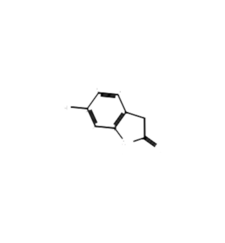 O=[C]1Cc2ccc(Br)c[c]2[Ac]1